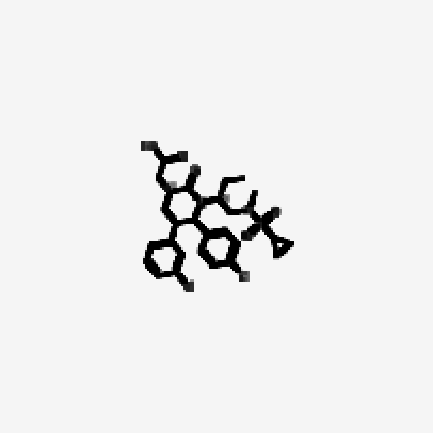 CC[C@@H](CN(C)S(=O)(=O)C1CC1)N1C(=O)[C@H](CC(=O)O)CC(c2cccc(Cl)c2)C1c1ccc(Cl)cc1